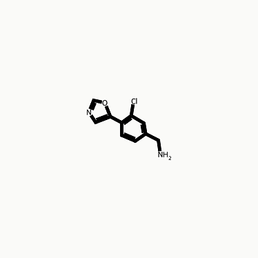 NCc1ccc(-c2cnco2)c(Cl)c1